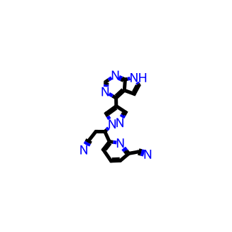 N#CCC(c1cccc(C#N)n1)n1cc(-c2ncnc3[nH]ccc23)cn1